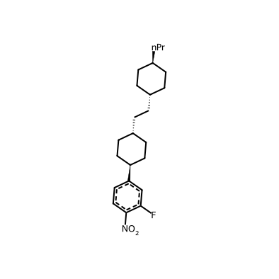 CCC[C@H]1CC[C@H](CC[C@H]2CC[C@H](c3ccc([N+](=O)[O-])c(F)c3)CC2)CC1